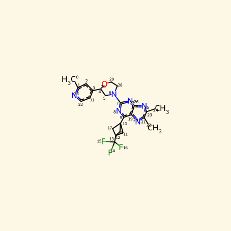 Cc1cc(C2CN(c3nc(C45CC(C(F)(F)F)(C4)C5)c4nc(C)c(C)nc4n3)CCO2)ccn1